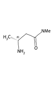 CNC(=O)C[C@@H](C)N